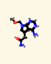 CCOCn1cc([Se]C(N)=O)c2c(N)ncnc21